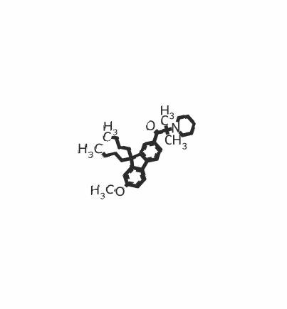 CCCCC1(CCCC)c2cc(OC)ccc2-c2ccc(C(=O)C(C)(C)N3CCCCC3)cc21